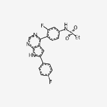 CCS(=O)(=O)Nc1ccc(-c2ncnc3[nH]c(-c4ccc(F)cc4)cc23)c(F)c1